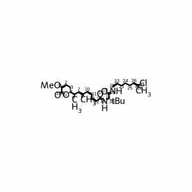 COC1=CC[C@@H]([C@@H](C)/C=C(C)/C=C\C=C/C(=O)N[C@H](C(=O)N/C=C\CCC/C=C(\C)Cl)C(C)(C)C)OC1=O